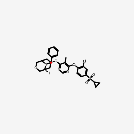 Cc1c(Oc2ccc(S(=O)(=O)C3CC3)cc2Cl)ncnc1O[C@@H]1CC2COC[C@@H](C1)N2Cc1ccccc1